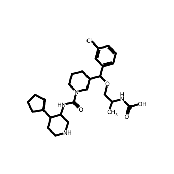 CC(COC(c1cccc(Cl)c1)C1CCCN(C(=O)NC2CNCCC2C2CCCC2)C1)NC(=O)O